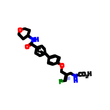 O=C(O)NC/C(=C/F)COc1ccc(C23CCC(C(=O)NC4CCOCC4)(CC2)CC3)cc1